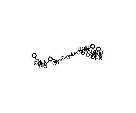 CN[C@@H](C)C(=O)NC(C(=O)N1CCC[C@H]1C(=O)Nc1sc(NC(=O)COCCOCCOCCOCCN(C)C(=O)Cc2cccc(CNC(=O)c3cc(/C=C/C4CCCCC4)c(OC)cn3)c2)nc1-c1ccccc1)C1CCCCC1